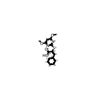 COc1cc(OC)nc(S/C(=C/c2ccccc2)C(=O)O)n1